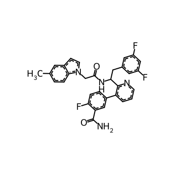 Cc1ccc2c(ccn2CC(=O)NC(Cc2cc(F)cc(F)c2)c2ncccc2-c2ccc(F)c(C(N)=O)c2)c1